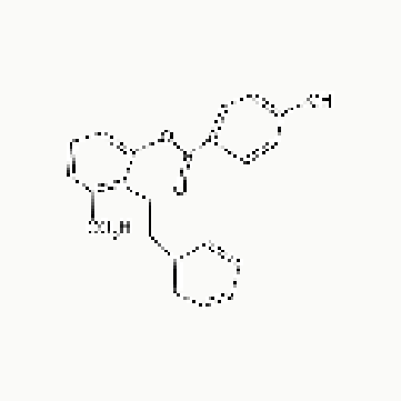 O=C(Oc1cccc(C(=O)O)c1CCc1ccccc1)c1ccc(O)cc1